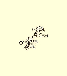 CCN(NC(=O)[C@H](Cc1ccccc1)CS(=O)(=O)C(C)(C)C)C(=O)CCc1cn([C@H]2OC(C)(C)O[C@H]2C2CC2)c(C2CCC(O)CC2)n1